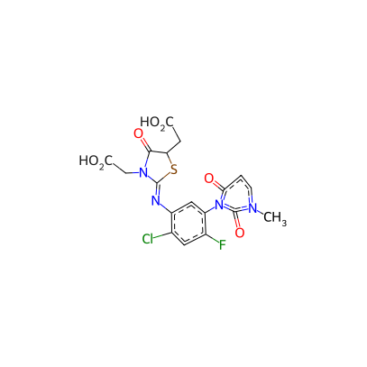 Cn1ccc(=O)n(-c2cc(N=C3SC(CC(=O)O)C(=O)N3CC(=O)O)c(Cl)cc2F)c1=O